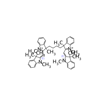 CN1/C(=C/C2=[N+](C)c3ccccc3C2(C)CCCCC2(C)C(/C=C3/N(C)c4ccccc4C3(C)C)=[N+](C)c3ccccc32)C(C)(C)c2ccccc21